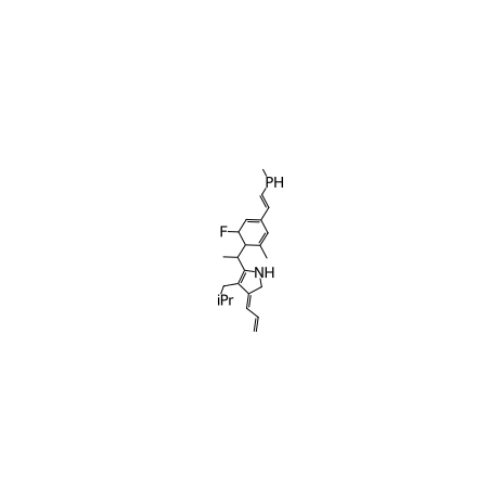 C=C/C=C1\CNC(C(C)C2C(C)=CC(/C=C/PC)=CC2F)=C1CC(C)C